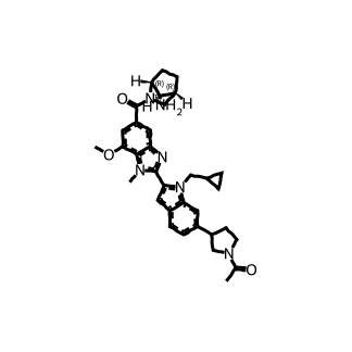 COc1cc(C(=O)N2C[C@H]3CC[C@@H]2[C@@H]3N)cc2nc(-c3cc4ccc(C5CCN(C(C)=O)C5)cc4n3CC3CC3)n(C)c12